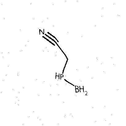 BPCC#N